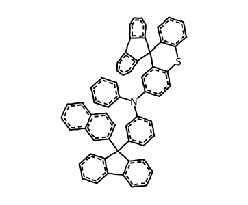 c1ccc(N(c2cccc(C3(c4ccc5ccccc5c4)c4ccccc4-c4ccccc43)c2)c2ccc3c(c2)C2(c4ccccc4S3)c3ccccc3-c3ccccc32)cc1